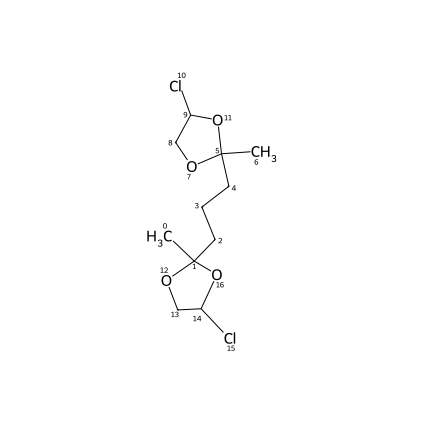 CC1(CCCC2(C)OCC(Cl)O2)OCC(Cl)O1